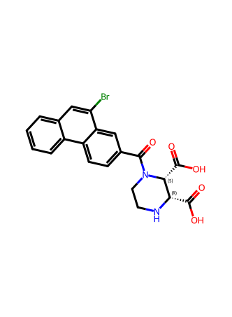 O=C(O)[C@@H]1[C@H](C(=O)O)NCCN1C(=O)c1ccc2c(c1)c(Br)cc1ccccc12